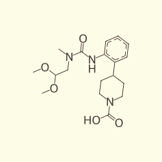 COC(CN(C)C(=O)Nc1ccccc1C1CCN(C(=O)O)CC1)OC